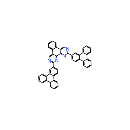 c1ccc2c(c1)c1ccccc1c1cc(-c3ncc4c5ccccc5c5cnc(-c6ccc7c8ccccc8c8ccccc8c7c6)nc5c4n3)ccc21